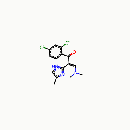 Cc1c[nH]c(/C(=C\N(C)C)C(=O)c2ccc(Cl)cc2Cl)n1